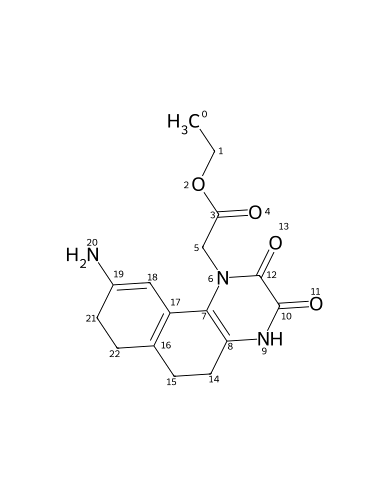 CCOC(=O)Cn1c2c([nH]c(=O)c1=O)CCC1=C2C=C(N)CC1